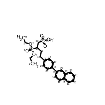 CCOP(=O)(OCC)C(CCc1ccc(-c2ccc3ccccc3c2)cc1)CS(=O)(=O)O